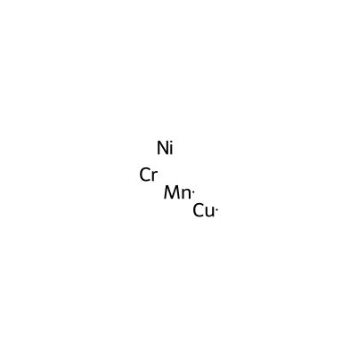 [Cr].[Cu].[Mn].[Ni]